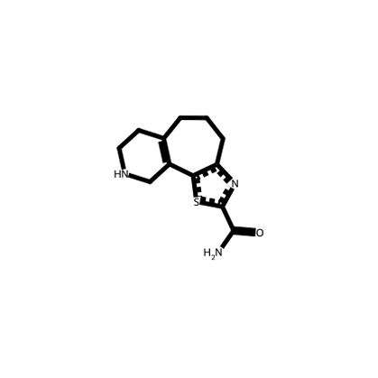 NC(=O)c1nc2c(s1)C1=C(CCC2)CCNC1